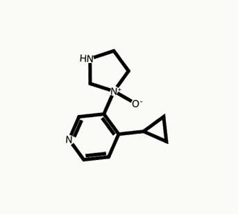 [O-][N+]1(c2cnccc2C2CC2)CCNC1